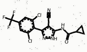 N#Cc1c(-c2c(Cl)cc(C(F)(F)F)cc2Cl)n[nH]c1NC(=O)C1CC1